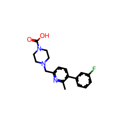 Cc1nc(CN2CCN(C(=O)O)CC2)ccc1-c1cccc(F)c1